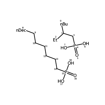 CCCCC(CC)CP(=O)(O)O.CCCCCCCCCCCCCCCCP(=O)(O)O